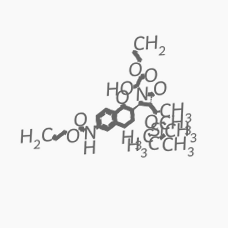 C=CCOC(=O)Nc1ccc2c(c1)CCC([C@@H]1[C@@H]([C@@H](C)O[Si](C)(C)C(C)(C)C)C(=O)N1C(O)C(=O)OCC=C)C2=O